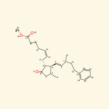 CC(/C=C/[C@H]1C(C)CC(=O)[C@@H]1C/C=C\CCCC(=O)OC(C)C)CCc1ccccc1